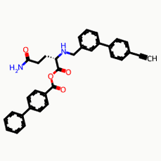 C#Cc1ccc(-c2cccc(CN[C@@H](CCC(N)=O)C(=O)OC(=O)c3ccc(-c4ccccc4)cc3)c2)cc1